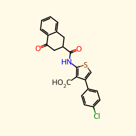 O=C1CC(C(=O)Nc2scc(-c3ccc(Cl)cc3)c2C(=O)O)Cc2ccccc21